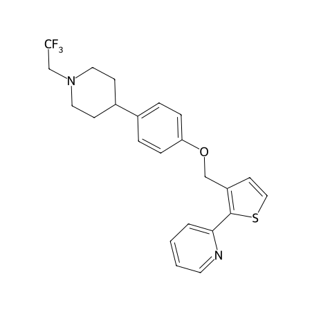 FC(F)(F)CN1CCC(c2ccc(OCc3ccsc3-c3ccccn3)cc2)CC1